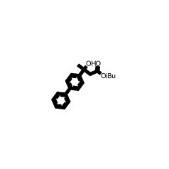 CC(C)COC(=O)CC(C)(O)c1ccc(-c2ccccc2)cc1